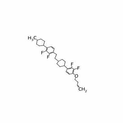 C=CCCOc1ccc(C2CCC(CCc3ccc(C4CCC(C)CC4)c(F)c3F)CC2)c(F)c1F